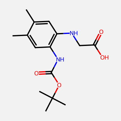 Cc1cc(NCC(=O)O)c(NC(=O)OC(C)(C)C)cc1C